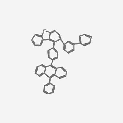 c1ccc(-c2cccc(-c3ccc4oc5ccccc5c4c3-c3ccc(-c4c5ccccc5c(-c5ccccc5)c5ccccc45)cc3)c2)cc1